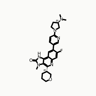 CN(C)[C@@H]1CCN(c2ccc(-c3cc4c(cc3F)nc([C@H]3CCCOC3)c3c4[nH]c(=O)n3C)cn2)C1